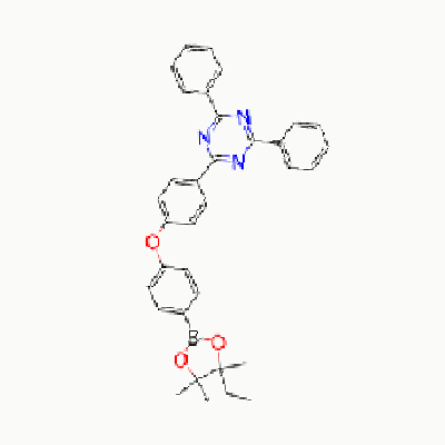 CCC1(C)OB(c2ccc(Oc3ccc(-c4nc(-c5ccccc5)nc(-c5ccccc5)n4)cc3)cc2)OC1(C)C